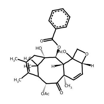 CC(=O)O[C@H]1C(=O)[C@]2(C)C=C[C@H]3OCC3(OC(C)=O)[C@H]2[C@H](OC(=O)c2ccccc2)[C@]2(O)CC(C)=C(C)C1C2(C)C